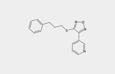 c1ccc(CCCSc2nonc2-c2cccnc2)cc1